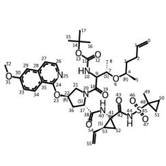 C=CCC[C@@H](C)O[C@@H](C)C(NC(=O)OC(C)(C)C)C(=O)N1C[C@H](Oc2nccc3cc(OC)ccc23)C[C@H]1C(=O)N[C@]1(C(=O)NS(=O)(=O)C2(C)CC2)C[C@H]1C=C